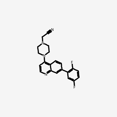 N#CCN1CCN(c2ccnc3cc(-c4cc(F)ccc4F)ccc23)CC1